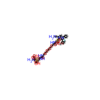 CC(C)(C)[C@H](c1cc(-c2cc(F)ccc2F)cn1Cc1ccccc1)N(CCCN)C(=O)CSC[C@H](NC(=O)CCOCCOCCOCCOCCNC(=O)CNC(=O)C[C@H](OC(=O)O)SC[C@H](N)OC(=O)O)OC(=O)O